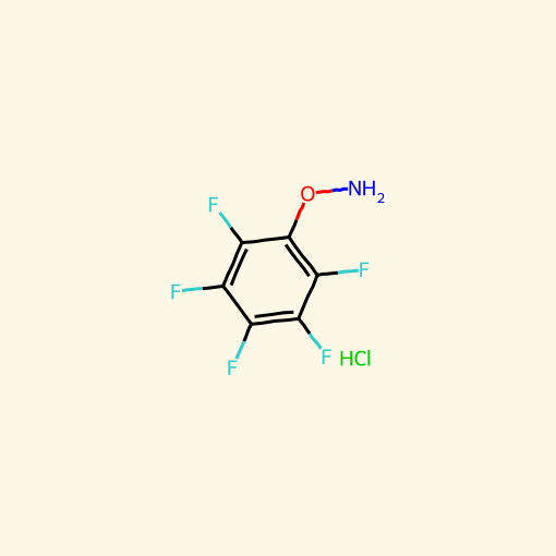 Cl.NOc1c(F)c(F)c(F)c(F)c1F